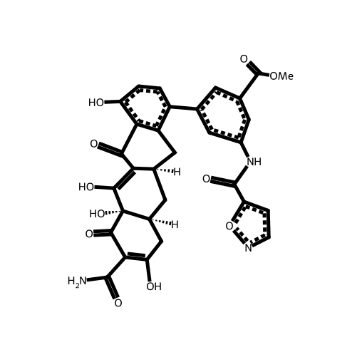 COC(=O)c1cc(NC(=O)c2ccno2)cc(-c2ccc(O)c3c2C[C@H]2C[C@H]4CC(O)=C(C(N)=O)C(=O)[C@@]4(O)C(O)=C2C3=O)c1